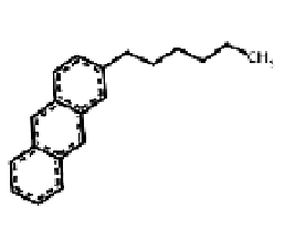 CCCCCCc1ccc2cc3ccccc3cc2c1